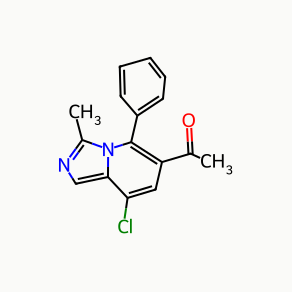 CC(=O)c1cc(Cl)c2cnc(C)n2c1-c1ccccc1